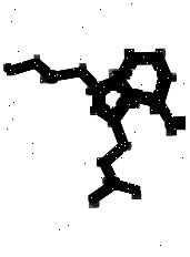 CCOCn1cc(CCN(C)C)c2c(O)cccc21